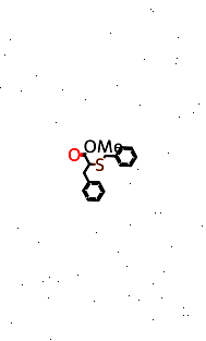 COC(=O)C(Cc1ccccc1)SCc1ccccc1